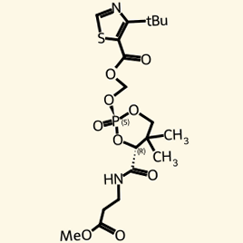 COC(=O)CCNC(=O)[C@@H]1O[P@@](=O)(OCOC(=O)c2scnc2C(C)(C)C)OCC1(C)C